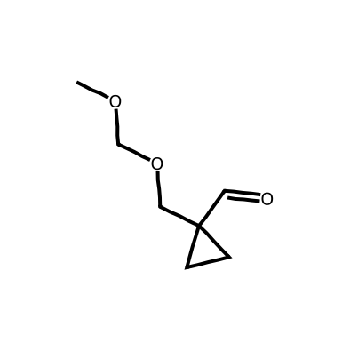 COCOCC1(C=O)CC1